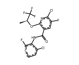 C[C@H](Oc1nc(Cl)c(F)cc1C(=O)Nc1c(F)cccc1Cl)C(F)(F)F